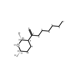 C=C(CCCCCC)C1CC[C@H](C)O[C@@H]1C